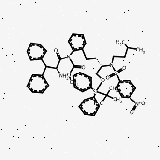 COC(=O)N(C(=O)[C@@H](N)C(c1ccccc1)c1ccccc1)c1ccccc1CC[C@@H](CO[Si](c1ccccc1)(c1ccccc1)C(C)(C)C)N(CCC(C)C)S(=O)(=O)c1ccc([N+](=O)[O-])cc1